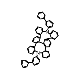 c1ccc(-c2cccc(-n3c4ccccc4c4cccc5c6ccccc6n(-c6cccc(-c7ccccc7)c6)c6ccccc6c6cccc(c7ccccc73)c6c45)c2)cc1